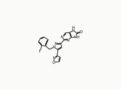 O=c1[nH]c2cnc(-c3cc(-c4ccon4)n(Cc4ccccc4F)n3)nc2[nH]1